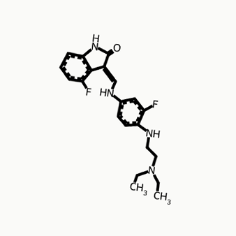 CCN(CC)CCNc1ccc(N/C=C2/C(=O)Nc3cccc(F)c32)cc1F